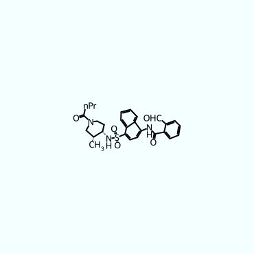 CCCC(=O)N1CC[C@H](NS(=O)(=O)c2ccc(NC(=O)c3ccccc3C=O)c3ccccc23)[C@H](C)C1